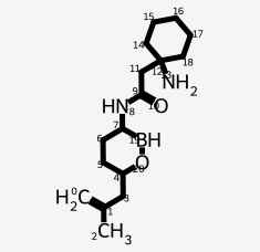 C=C(C)CC1CCC(NC(=O)CC2(N)CCCCC2)BO1